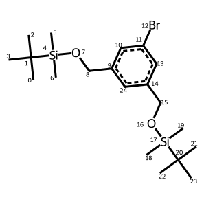 CC(C)(C)[Si](C)(C)OCc1cc(Br)cc(CO[Si](C)(C)C(C)(C)C)c1